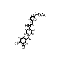 CC(=O)OCc1ccc(CNC2CCN(Cc3ccc(Cl)c(Cl)c3)CC2)o1